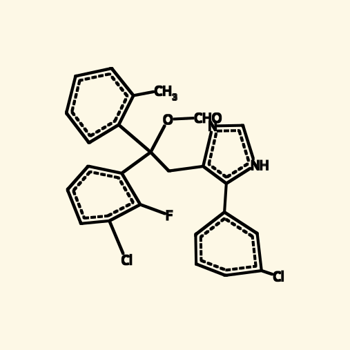 Cc1ccccc1C(Cc1nc[nH]c1-c1cccc(Cl)c1)(OC=O)c1cccc(Cl)c1F